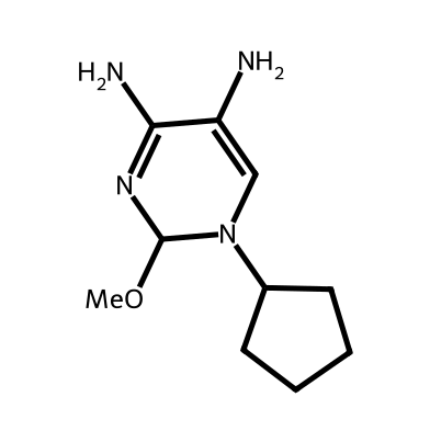 COC1N=C(N)C(N)=CN1C1CCCC1